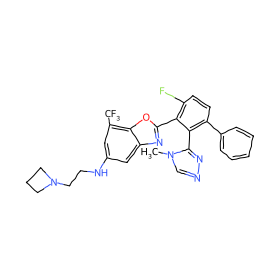 Cn1cnnc1-c1c(-c2ccccc2)ccc(F)c1-c1nc2cc(NCCN3CCC3)cc(C(F)(F)F)c2o1